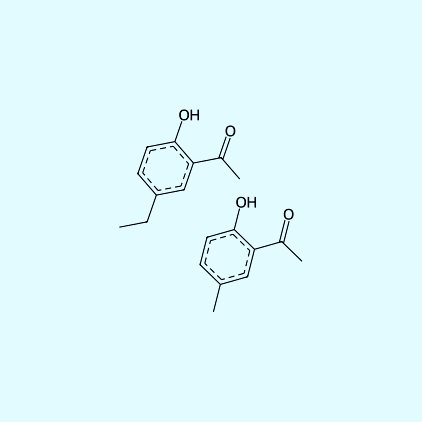 CC(=O)c1cc(C)ccc1O.CCc1ccc(O)c(C(C)=O)c1